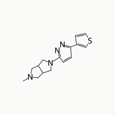 CN1CC2CN(c3ccc(-c4ccsc4)nn3)CC2C1